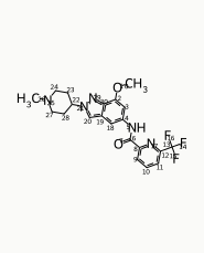 COc1cc(NC(=O)c2cccc(C(F)(F)F)n2)cc2cn(C3CCN(C)CC3)nc12